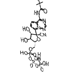 CCCCOC(C)(C)C(=O)Nc1ncnn2c([C@]3(C#N)O[C@H](COP(=O)(O)OP(=O)(O)OP(=O)(O)O)[C@@H](O)[C@H]3O)ccc12